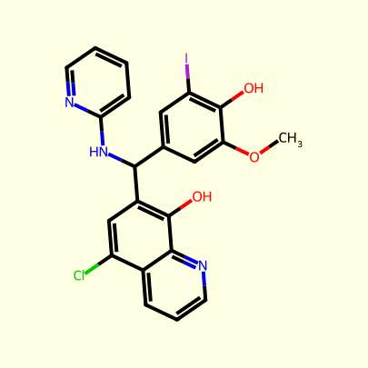 COc1cc(C(Nc2ccccn2)c2cc(Cl)c3cccnc3c2O)cc(I)c1O